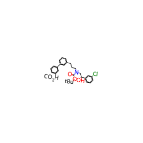 CC(C)(C)OC(=O)N(CCCc1cccc(-c2cccc(C(=O)O)c2)c1)C[C@H](O)c1cccc(Cl)c1